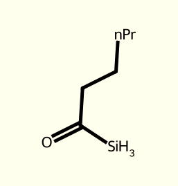 CCCCCC(=O)[SiH3]